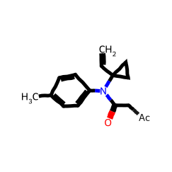 C=CC1(N(C(=O)CC(C)=O)c2ccc(C)cc2)CC1